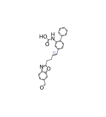 O=Cc1ccc2nc(CC/C=C/c3ccc(-c4ccccc4)c(NC(=O)O)c3)oc2c1